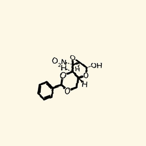 O=[N+]([O-])[C@]12O[C@H]1[C@H](O)O[C@@H]1COC(c3ccccc3)O[C@H]12